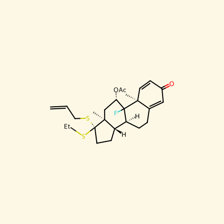 C=CCS[C@@]1(SCC)CC[C@H]2[C@@H]3CCC4=CC(=O)C=C[C@]4(C)C3(F)[C@@H](OC(C)=O)C[C@@]21C